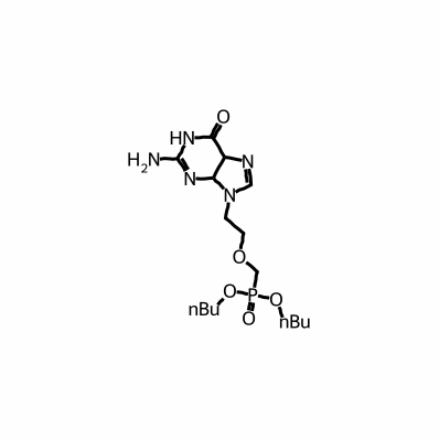 CCCCOP(=O)(COCCN1C=NC2C(=O)NC(N)=NC21)OCCCC